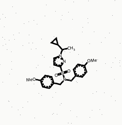 COc1ccc(CN(Cc2ccc(OC)cc2)S(=O)(=O)c2ccn(C(C)C3CC3)n2)cc1